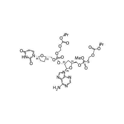 COP(=O)(OC[C@@H]1C[C@@H](OP(=O)(OCOC(=O)OC(C)C)OC[C@@H]2CC[C@H](n3ccc(=O)[nH]c3=O)O2)[C@H](n2cnc3c(N)ncnc32)O1)SCOC(=O)OC(C)C